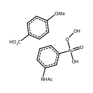 CC(=O)Nc1cccc([As](=O)(O)OO)c1.COc1ccc(C(=O)O)cc1